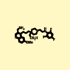 COc1ccc2ncc(CN)c(CCCC3(CC(=O)O)CCN(CCNc4c(F)cc(F)cc4F)CC3)c2c1